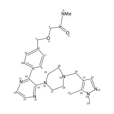 CNC(=O)COCc1ccc(-c2nccnc2N2CCN(Cc3cnn(C)c3C)CC2)cc1